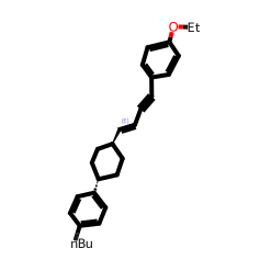 CCCCc1ccc([C@H]2CC[C@H](/C=C/C#Cc3ccc(OCC)cc3)CC2)cc1